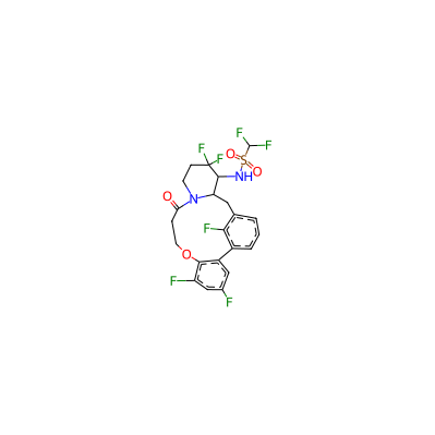 O=C1CCOc2c(F)cc(F)cc2-c2cccc(c2F)CC2C(NS(=O)(=O)C(F)F)C(F)(F)CCN12